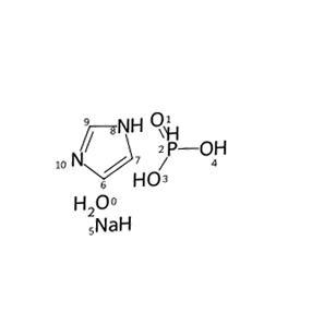 O.O=[PH](O)O.[NaH].c1c[nH]cn1